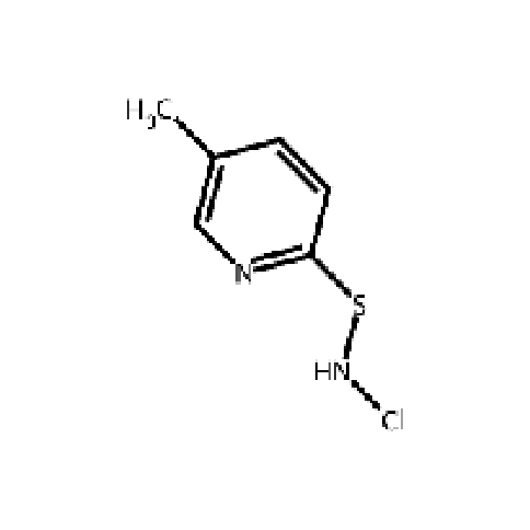 Cc1ccc(SNCl)nc1